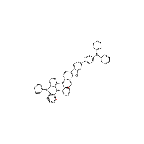 c1ccc(N(c2ccccc2)c2ccc(-c3ccc4c(c3)sc3c5cccc(-c6cccc(N(c7ccccc7)c7ccccc7)c6N(c6ccccc6)c6ccccc6)c5ccc43)cc2)cc1